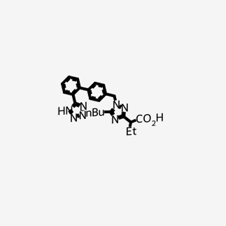 CCCCc1nc(C(CC)C(=O)O)nn1Cc1ccc(-c2ccccc2-c2nnn[nH]2)cc1